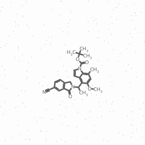 COc1cc(C)c2c(ccn2C(=O)OC(C)(C)C)c1C(C)N1Cc2ccc(C#N)cc2C1=O